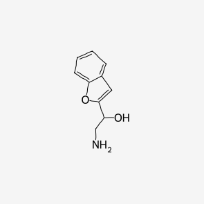 NCC(O)c1cc2ccccc2o1